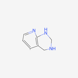 [c]1ccnc2c1CNCN2